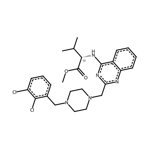 COC(=O)[C@@H](Nc1nc(CN2CCN(Cc3cccc(Cl)c3Cl)CC2)nc2ccccc12)C(C)C